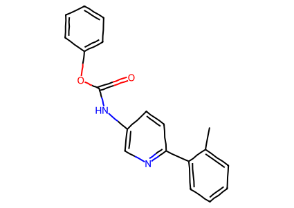 Cc1ccccc1-c1ccc(NC(=O)Oc2ccccc2)cn1